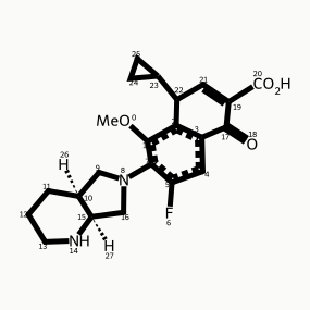 COc1c2c(cc(F)c1N1C[C@@H]3CCCN[C@@H]3C1)C(=O)C(C(=O)O)=CC2C1CC1